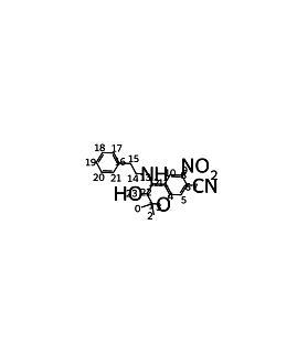 CC1(C)Oc2cc(C#N)c([N+](=O)[O-])cc2C(NCCc2ccccc2)C1O